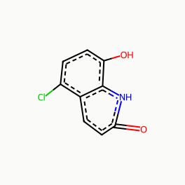 O=c1ccc2c(Cl)ccc(O)c2[nH]1